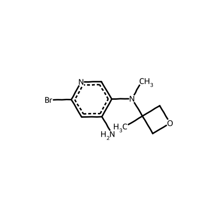 CN(c1cnc(Br)cc1N)C1(C)COC1